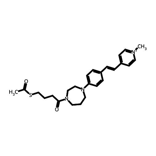 CC(=O)SCCCC(=O)N1CCCN(c2ccc(/C=C/c3cc[n+](C)cc3)cc2)CC1